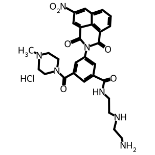 CN1CCN(C(=O)c2cc(C(=O)NCCNCCN)cc(N3C(=O)c4cccc5cc([N+](=O)[O-])cc(c45)C3=O)c2)CC1.Cl